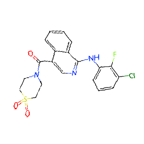 O=C(c1cnc(Nc2cccc(Cl)c2F)c2ccccc12)N1CCS(=O)(=O)CC1